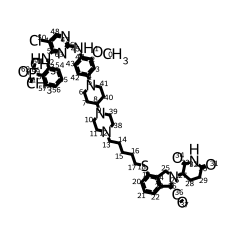 COc1cc(N2CCC(N3CCN(CCCCCSc4cccc5c4CN(C4CCC(=O)NC4=O)C5=C=O)CC3)CC2)ccc1Nc1ncc(Cl)c(Nc2ccccc2P(C)(C)=O)n1